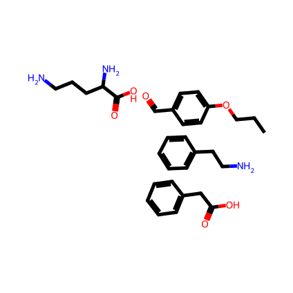 CCCOc1ccc(C=O)cc1.NCCCC(N)C(=O)O.NCCc1ccccc1.O=C(O)Cc1ccccc1